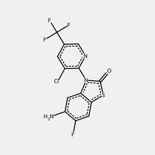 Nc1cc2c(cc1F)sc(=O)n2-c1ncc(C(F)(F)F)cc1Cl